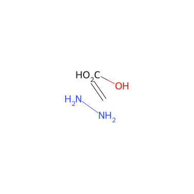 C=C.NN.O=C(O)O